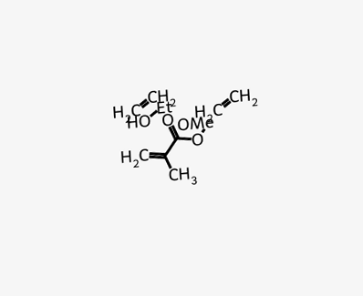 C=C.C=C.C=C(C)C(=O)OOC.CCO